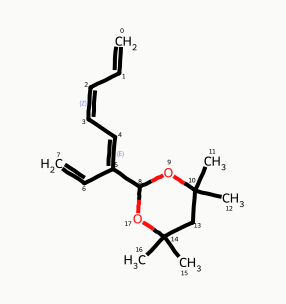 C=C/C=C\C=C(/C=C)C1OC(C)(C)CC(C)(C)O1